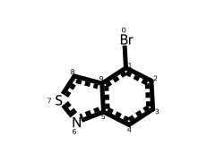 Brc1cccc2nscc12